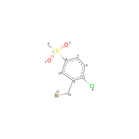 CS(=O)(=O)c1ccc(Cl)c(CBr)c1